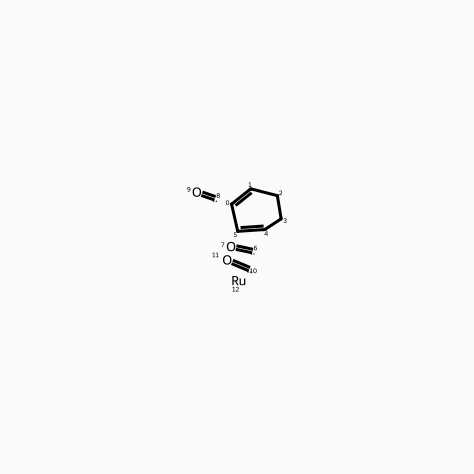 C1=CCCC=C1.[C]=O.[C]=O.[C]=O.[Ru]